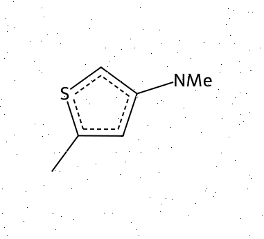 CNc1csc(C)c1